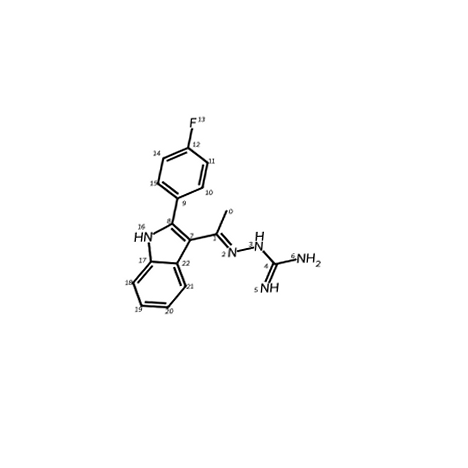 CC(=NNC(=N)N)c1c(-c2ccc(F)cc2)[nH]c2ccccc12